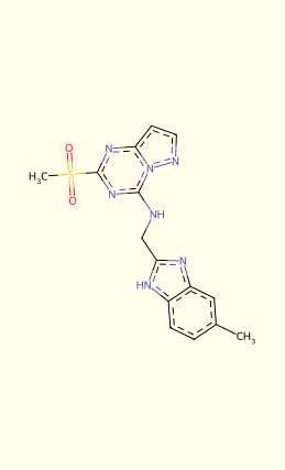 Cc1ccc2[nH]c(CNc3nc(S(C)(=O)=O)nc4ccnn34)nc2c1